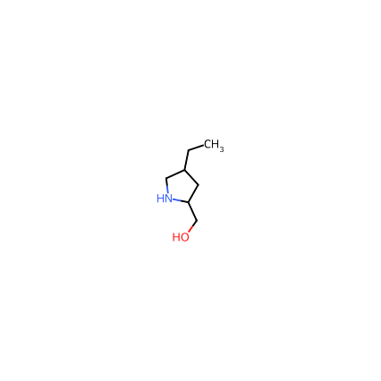 CCC1CNC(CO)C1